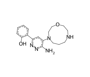 Nc1nnc(-c2ccccc2O)cc1N1CCCNCCOCC1